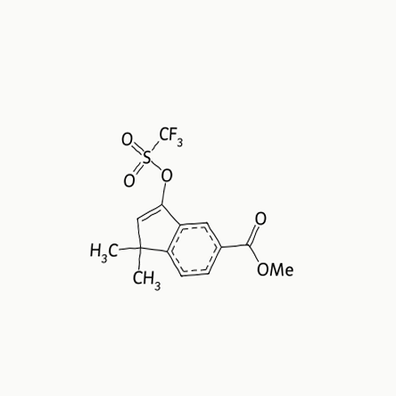 COC(=O)c1ccc2c(c1)C(OS(=O)(=O)C(F)(F)F)=CC2(C)C